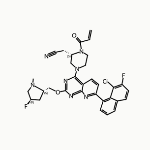 C=CC(=O)N1CCN(c2nc(OC[C@@H]3C[C@@H](F)CN3C)nc3nc(-c4cccc5ccc(F)c(Cl)c45)ccc23)C[C@@H]1CC#N